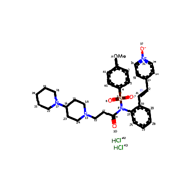 COc1ccc(S(=O)(=O)N(C(=O)CCN2CCC(N3CCCCC3)CC2)c2ccccc2/C=C/c2cc[n+]([O-])cc2)cc1.Cl.Cl